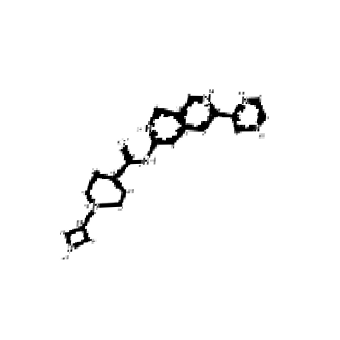 O=C(Nc1cc2cc(-c3cnccn3)ncc2cn1)C1CCN(C2COC2)CC1